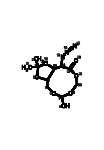 CC1(C)OC2COC(O)OCOC(=O)C(N=[N+]=[N-])C2O1